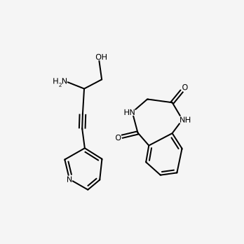 NC(C#Cc1cccnc1)CO.O=C1CNC(=O)c2ccccc2N1